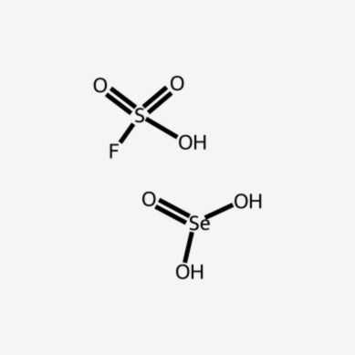 O=S(=O)(O)F.O=[Se](O)O